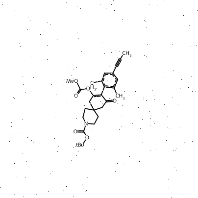 CC#Cc1cc(C)c(C2=C(OC(=O)OC)CC3(CCN(C(=O)OC(C)(C)C)CC3)CC2=O)c(C)c1